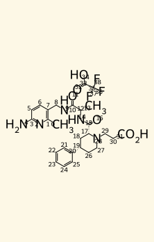 Cc1nc(N)ccc1CNC(=O)[C@H](C)NC(=O)[C@H]1C[C@@H](c2ccccc2)CCN1CCC(=O)O.O=C(O)C(F)(F)F